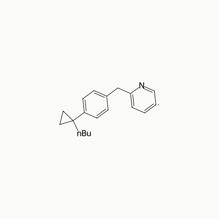 CCCCC1(c2ccc(Cc3cc[c]cn3)cc2)CC1